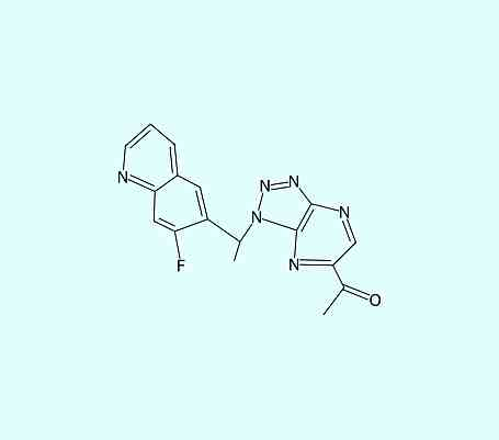 CC(=O)c1cnc2nnn(C(C)c3cc4cccnc4cc3F)c2n1